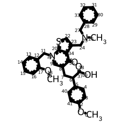 COc1ccc(C(Cc2cn(Cc3ccccc3OC)c3scc(CN(C)Cc4ccccc4)c3c2=O)C(=O)O)cc1